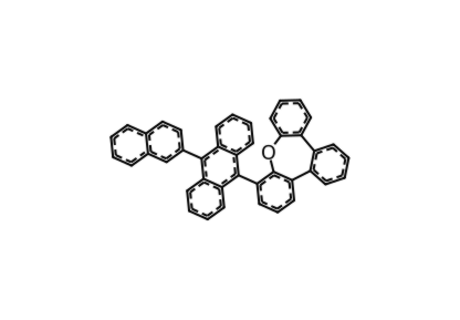 c1ccc2c(c1)Oc1c(cccc1-c1c3ccccc3c(-c3ccc4ccccc4c3)c3ccccc13)-c1ccccc1-2